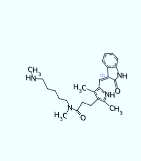 CNCCCCCN(C)C(=O)CCc1c(C)[nH]c(/C=C2\C(=O)Nc3ccccc32)c1C